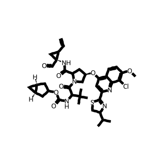 C=CC1C[C@@]1(C=O)NC(=O)C1C[C@@H](Oc2cc(C3=NC(C(C)C)CS3)nc3c(Cl)c(OC)ccc23)CN1C(=O)C(NC(=O)OC1C[C@@H]2C[C@@H]2C1)C(C)(C)C